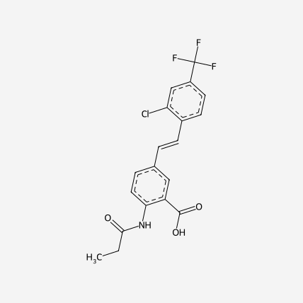 CCC(=O)Nc1ccc(C=Cc2ccc(C(F)(F)F)cc2Cl)cc1C(=O)O